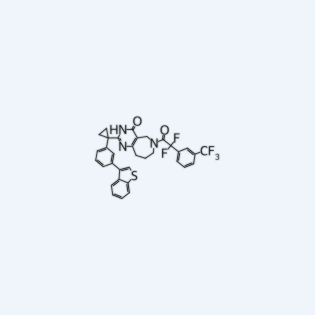 O=C(N1CCCc2nc(C3(c4cccc(-c5csc6ccccc56)c4)CC3)[nH]c(=O)c2C1)C(F)(F)c1cccc(C(F)(F)F)c1